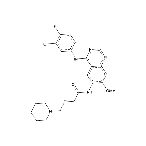 COc1cc2ncnc(Nc3ccc(F)c(Cl)c3)c2cc1NC(=O)C=CCN1CCCCC1